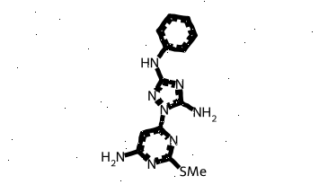 CSc1nc(N)cc(-n2nc(Nc3ccccc3)nc2N)n1